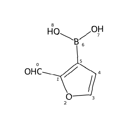 O=Cc1occc1B(O)O